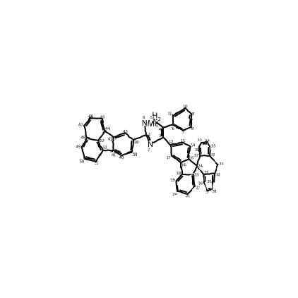 CN/C(=N\C(=C(/N)c1ccccc1)c1ccc2c(c1)-c1ccccc1C21c2ccccc2Cc2ccccc21)c1ccc2c(c1)-c1cccc3cccc-2c13